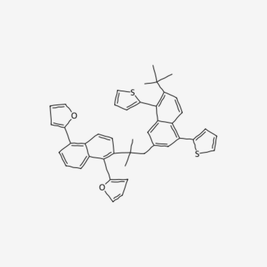 CC(C)(C)c1ccc2c(-c3cccs3)cc(CC(C)(C)c3ccc4c(-c5ccco5)cccc4c3-c3ccco3)cc2c1-c1cccs1